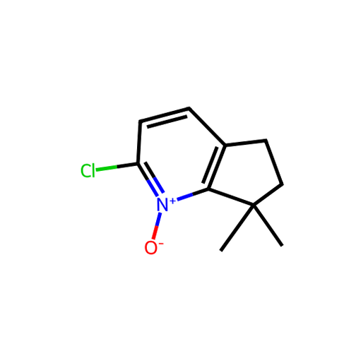 CC1(C)CCc2ccc(Cl)[n+]([O-])c21